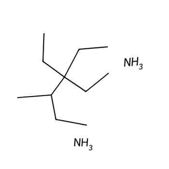 CCC(C)C(CC)(CC)CC.N.N